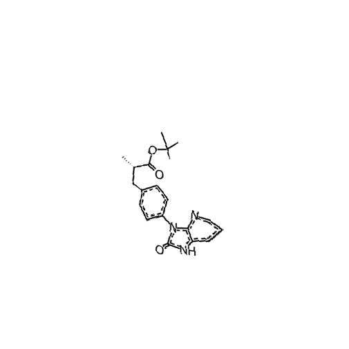 C[C@@H](Cc1ccc(-n2c(=O)[nH]c3cccnc32)cc1)C(=O)OC(C)(C)C